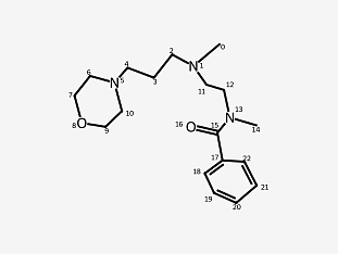 CN(CCCN1CCOCC1)CCN(C)C(=O)c1ccccc1